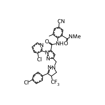 CNC(=O)c1cc(C#N)cc(C)c1NC(=O)c1cc(CN2CC(C(F)(F)F)C(c3ccc(Cl)cc3)=N2)nn1-c1ncccc1Cl